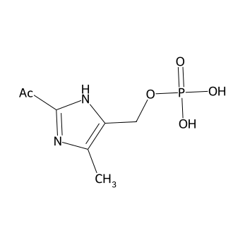 CC(=O)c1nc(C)c(COP(=O)(O)O)[nH]1